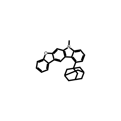 Cn1c2cc3oc4ccccc4c3cc2c2c(C34CC5CC(CC(C5)C3)C4)cccc21